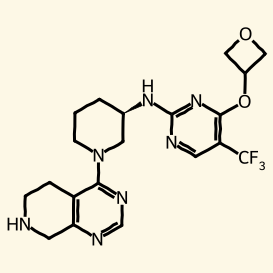 FC(F)(F)c1cnc(N[C@@H]2CCCN(c3ncnc4c3CCNC4)C2)nc1OC1COC1